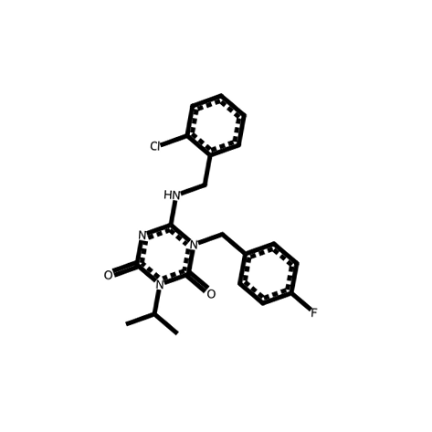 CC(C)n1c(=O)nc(NCc2ccccc2Cl)n(Cc2ccc(F)cc2)c1=O